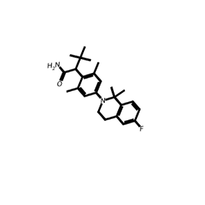 Cc1cc(N2CCc3cc(F)ccc3C2(C)C)cc(C)c1C(C(N)=O)C(C)(C)C